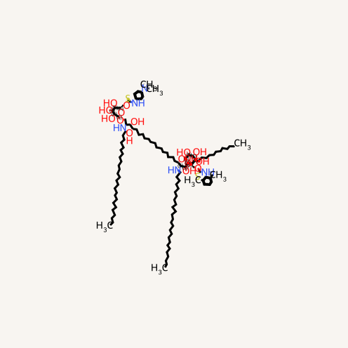 CCCCCCCCCCCCCCCCCCCCCCCCCCNC(CO[C@H]1O[C@H](COC(=S)Nc2ccc(N(C)C)cc2)[C@H](O)[C@H](O)[C@H]1O)C(O)C(O)CCCCCCCCCCCCCCC(O[C@H]1O[C@H](COC(=S)Nc2c(C)cccc2C)[C@H](O)[C@H](O)[C@H]1O)[C@@H](NCCCCCCCCCCCCCCCCCCCCCCCCCC)[C@H](O)[C@H](O)CCCCCCCCCCCCCC